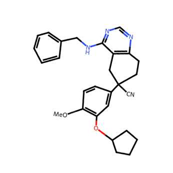 COc1ccc(C2(C#N)CCc3ncnc(NCc4ccccc4)c3C2)cc1OC1CCCC1